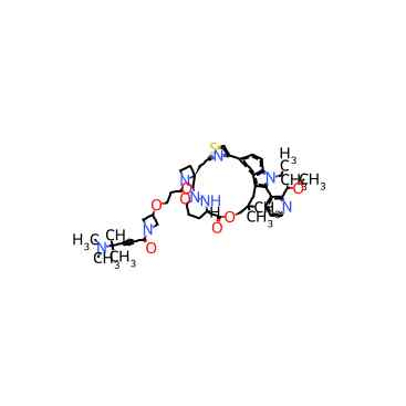 CCn1c(-c2cccnc2[C@H](C)OC)c2c3cc(ccc31)-c1csc(n1)C[C@@]1(CCN1C(=O)CCOC1CN(C(=O)C#CC(C)(C)N(C)C)C1)C(=O)N1CCC[C@H](N1)C(=O)OCC(C)(C)C2